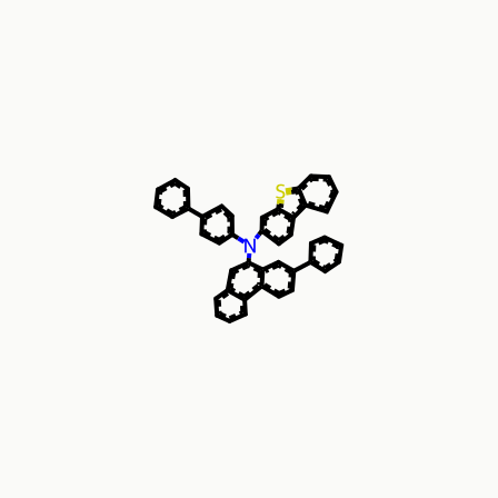 c1ccc(-c2ccc(N(c3ccc4c(c3)sc3ccccc34)c3cc4ccccc4c4ccc(-c5ccccc5)cc34)cc2)cc1